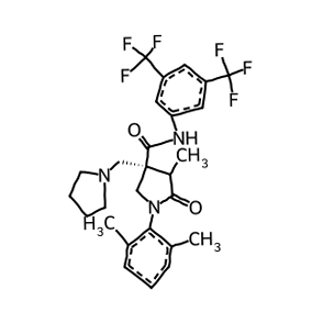 Cc1cccc(C)c1N1C[C@@](CN2CCCC2)(C(=O)Nc2cc(C(F)(F)F)cc(C(F)(F)F)c2)C(C)C1=O